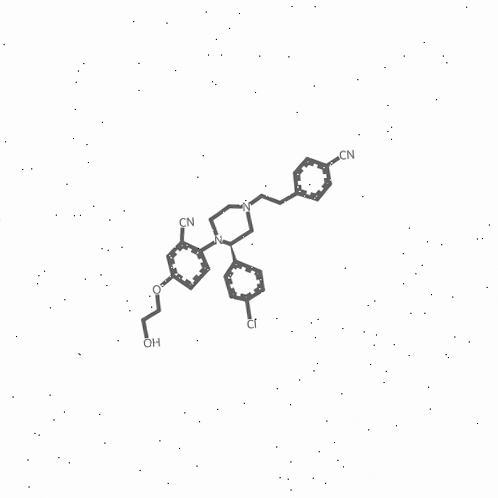 N#Cc1ccc(CCN2CCN(c3ccc(OCCO)cc3C#N)[C@H](c3ccc(Cl)cc3)C2)cc1